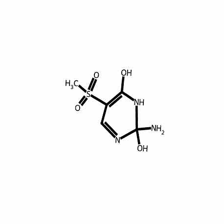 CS(=O)(=O)C1=C(O)NC(N)(O)N=C1